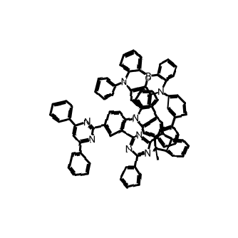 CC1(C)c2ccccc2-c2cc3c4ccccc4n(-c4ccc(-c5nc(-c6ccccc6)cc(-c6ccccc6)n5)cc4-c4nc(-c5ccccc5)nc(-c5cccc(-c6cccc(N7c8ccccc8B8c9ccccc9N(c9ccccc9)c9cccc7c98)c6)c5)n4)c3cc21